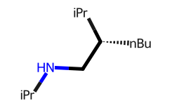 CCCC[C@H](CNC(C)C)C(C)C